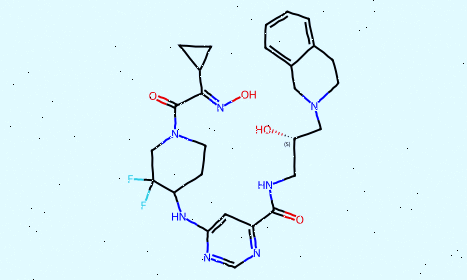 O=C(NC[C@H](O)CN1CCc2ccccc2C1)c1cc(NC2CCN(C(=O)C(=NO)C3CC3)CC2(F)F)ncn1